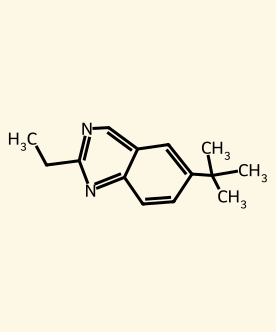 CCc1ncc2cc(C(C)(C)C)ccc2n1